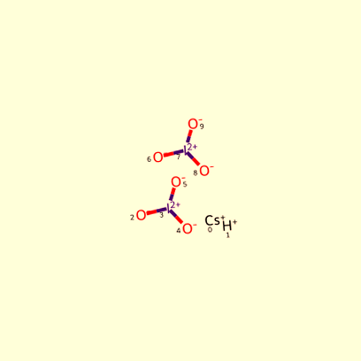 [Cs+].[H+].[O-][I+2]([O-])[O-].[O-][I+2]([O-])[O-]